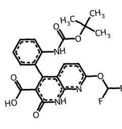 CC(C)(C)OC(=O)Nc1ccccc1-c1c(C(=O)O)c(=O)[nH]c2nc(OC(F)F)ccc12